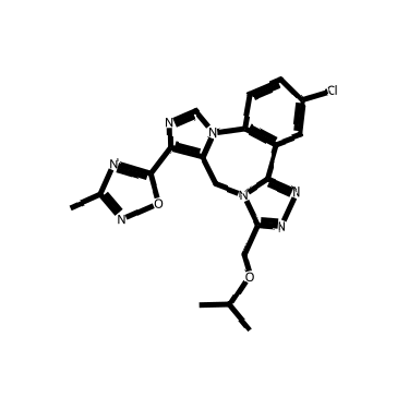 Cc1noc(-c2ncn3c2Cn2c(COC(C)C)nnc2-c2cc(Cl)ccc2-3)n1